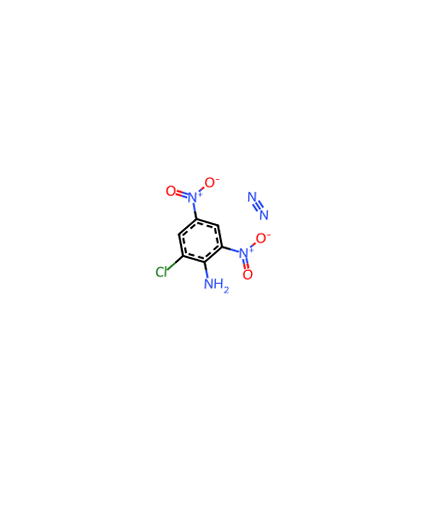 N#N.Nc1c(Cl)cc([N+](=O)[O-])cc1[N+](=O)[O-]